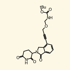 CC(C)(C)OC(=O)NCOCC#Cc1cccc2c1CN(C1CCC(=O)NC1=O)C2=O